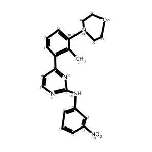 Cc1c(-c2ccnc(Nc3cccc([N+](=O)[O-])c3)n2)cccc1N1CCOCC1